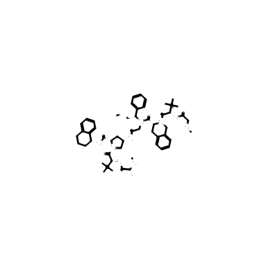 CN[C@@H](C)C(=O)N[C@H](C(=O)N1C[C@@H](NC(=O)CN(C(=O)[C@@H]2Cc3ccccc3CN2C(=O)[C@@H](NC(=O)[C@H](C)NC)C(C)(C)C)[C@@H](COC)c2ccccc2)C[C@H]1C(=O)N[C@@H]1CCCc2ccccc21)C(C)(C)C